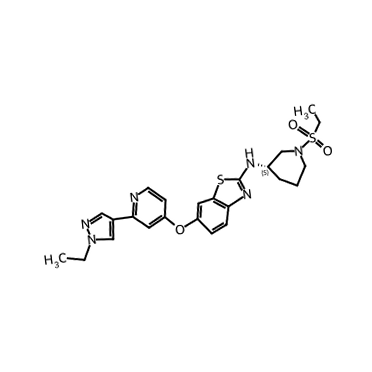 CCn1cc(-c2cc(Oc3ccc4nc(N[C@H]5CCCN(S(=O)(=O)CC)C5)sc4c3)ccn2)cn1